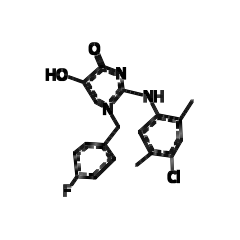 Cc1cc(Nc2nc(=O)c(O)cn2Cc2ccc(F)cc2)c(C)cc1Cl